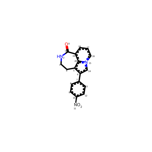 O=C1NCCc2c(-c3ccc([N+](=O)[O-])cc3)cn3cccc1c23